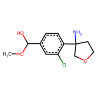 COC(O)c1ccc(C2(N)CCOC2)c(Cl)c1